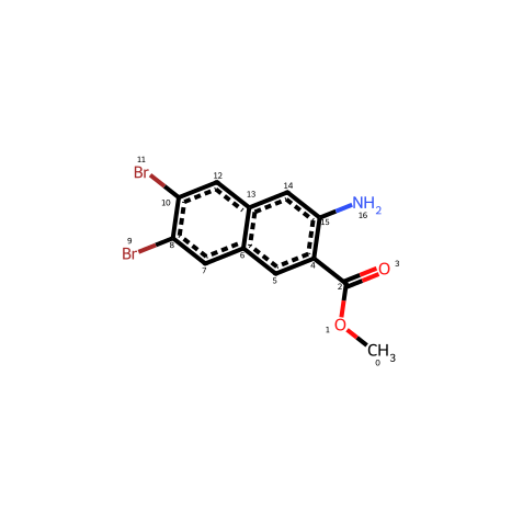 COC(=O)c1cc2cc(Br)c(Br)cc2cc1N